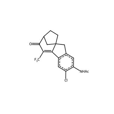 CC(=O)Nc1cc2c(cc1Cl)C1=C(C(F)(F)F)C(=O)C3CCC1(C2)C3